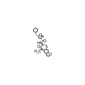 CN1C(=O)[C@@H](NC(=O)c2cc(Cc3ccccc3)on2)CSc2cc3occc3cc21